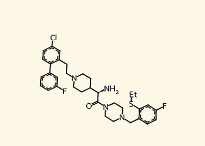 CCSc1cc(F)ccc1CN1CCN(C(=O)[C@H](N)C2CCN(CCc3cc(Cl)ccc3-c3cccc(F)c3)CC2)CC1